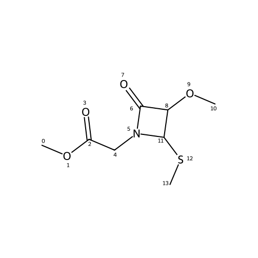 COC(=O)CN1C(=O)C(OC)C1SC